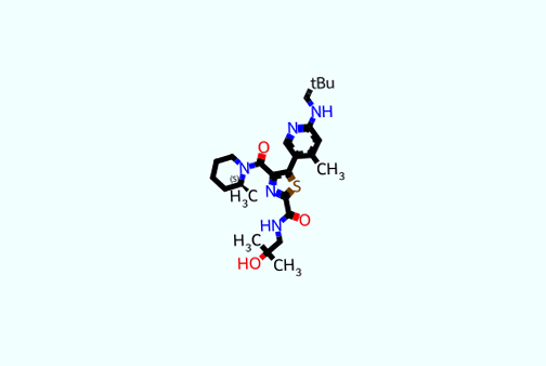 Cc1cc(NCC(C)(C)C)ncc1-c1sc(C(=O)NCC(C)(C)O)nc1C(=O)N1CCCC[C@@H]1C